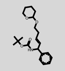 CC(C)(C)OC(=O)NC(/C=C/CCOC1CCCCO1)c1ccccc1